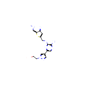 CCN/C=C1/SC(CNc2nc(-c3cnn(CCO)c3)cnc2N)=CC1=N